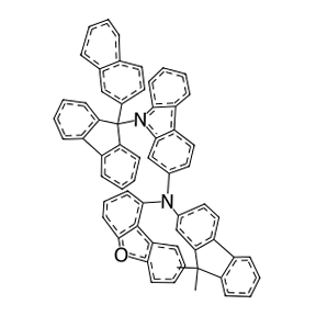 CC1(C)c2ccccc2-c2ccc(N(c3ccc4c5ccccc5n(C5(c6ccc7ccccc7c6)c6ccccc6-c6ccccc65)c4c3)c3cccc4oc5ccccc5c34)cc21